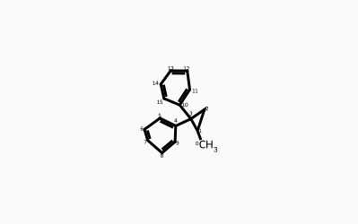 C[C]1CC1(c1ccccc1)c1ccccc1